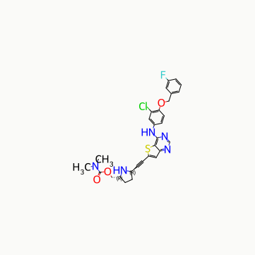 CN(C)C(=O)OC[C@H]1CC[C@H](C#Cc2cc3ncnc(Nc4ccc(OCc5cccc(F)c5)c(Cl)c4)c3s2)N1